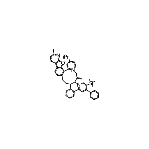 C=C1C[n+]2ccc(C(C)C)cc2-c2c(ccc3c2oc2nc(C)ccc23)CCC2c3ccccc3-c3cc(-c4ccccc4)c([Si](C)(C)C)c[n+]3C12